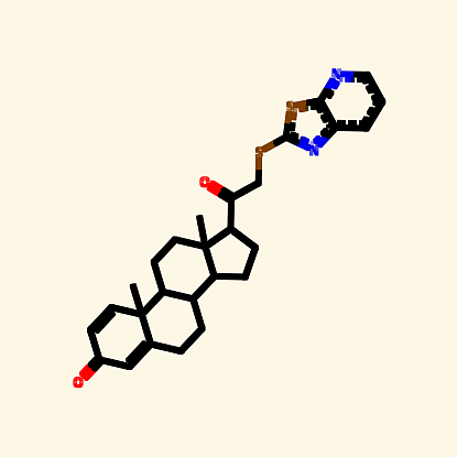 CC12C=CC(=O)C=C1CCC1C2CCC2(C)C(C(=O)CSc3nc4cccnc4s3)CCC12